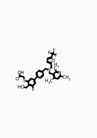 Cc1cc(C)c(CN(Cc2ccc(-c3cc(F)c(CO)c(SCC(=O)O)c3)cc2)Cc2ccc(C(F)(F)F)o2)c(C)n1